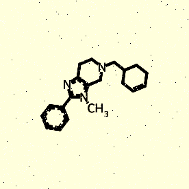 Cn1c(-c2ccccc2)nc2c1CN(CC1CC=CCC1)CC2